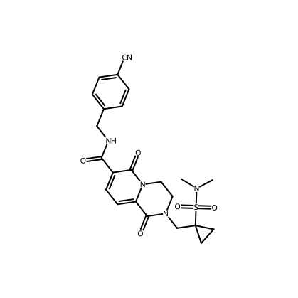 CN(C)S(=O)(=O)C1(CN2CCn3c(ccc(C(=O)NCc4ccc(C#N)cc4)c3=O)C2=O)CC1